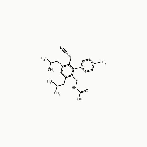 Cc1ccc(-c2c(CC#N)c(CC(C)C)nc(CC(C)C)c2CNC(=O)O)cc1